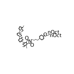 CCCCCCCCC(CCCCCCCC)COc1ccc(CCCCN2C(=O)c3c(C)sc(-c4ccc(-c5ccc(-c6ccc(C)s6)s5)s4)c3C2=O)cc1